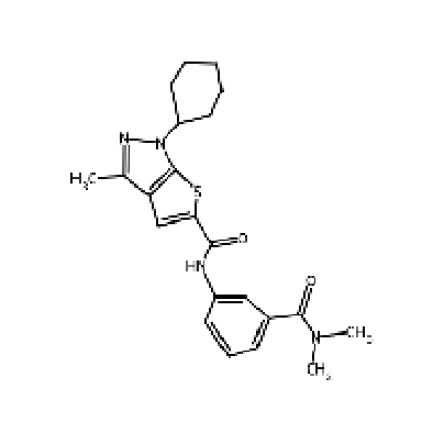 Cc1nn(C2CCCCC2)c2sc(C(=O)Nc3cccc(C(=O)N(C)C)c3)cc12